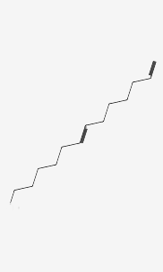 C=CCCCCC=CCCCCCC=O